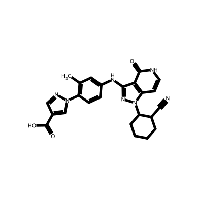 Cc1cc(Nc2nn(C3CCCCC3C#N)c3cc[nH]c(=O)c23)ccc1-n1cc(C(=O)O)cn1